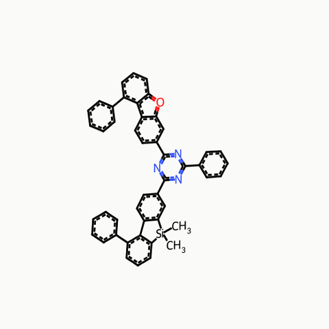 C[Si]1(C)c2cc(-c3nc(-c4ccccc4)nc(-c4ccc5c(c4)oc4cccc(-c6ccccc6)c45)n3)ccc2-c2c(-c3ccccc3)cccc21